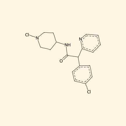 O=C(NC1CCN(Cl)CC1)C(c1ccc(Cl)cc1)c1ccccn1